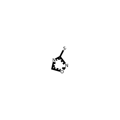 [S]c1ncon1